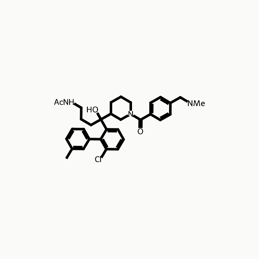 CNCc1ccc(C(=O)N2CCCC(C(O)(CCCNC(C)=O)c3cccc(Cl)c3-c3cccc(C)c3)C2)cc1